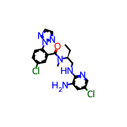 CC[C@@H](CNc1ncc(Cl)cc1N)N(C)C(=O)c1cc(Cl)ccc1-n1nccn1